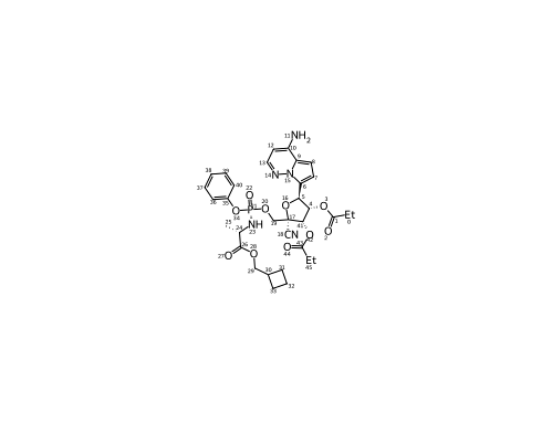 CCC(=O)O[C@H]1[C@H](c2ccc3c(N)ccnn23)O[C@](C#N)(CO[P@@](=O)(N[C@@H](C)C(=O)OCC2CCC2)Oc2ccccc2)[C@H]1OC(=O)CC